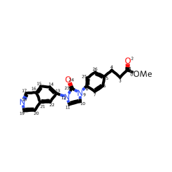 COC(=O)CCc1ccc(-n2ccn(-c3ccc4cnccc4c3)c2=O)cc1